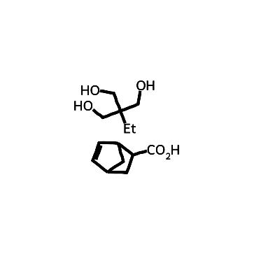 CCC(CO)(CO)CO.O=C(O)C1CC2C=CC1C2